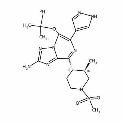 [2H]C(C)(C)Oc1c(-c2cn[nH]c2)nc([C@H]2CCN(S(C)(=O)=O)C[C@@H]2C)c2nc(N)nn12